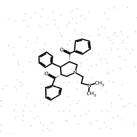 CN(C)CCN1C[C@H](C(=O)c2ccccc2)C(c2ccccc2)[C@H](C(=O)c2ccccc2)C1